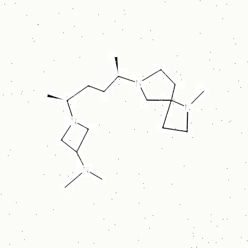 C[C@H](CC[C@H](C)N1CC(N(C)C)C1)N1CCC2(CCN2C)C1